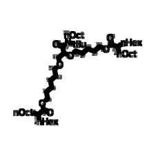 CCCCCCCCC(CCCCCC)C(=O)OCCCCCCOCC(OCCCCCOC(=O)C(CCCCCC)CCCCCCCC)C(=O)N(CCCCCCCC)C(C)(C)C